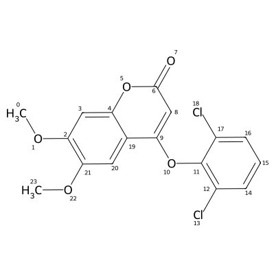 COc1cc2oc(=O)cc(Oc3c(Cl)cccc3Cl)c2cc1OC